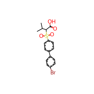 CC(C)C(C(=O)O)S(=O)(=O)c1ccc(-c2ccc(Br)cc2)cc1